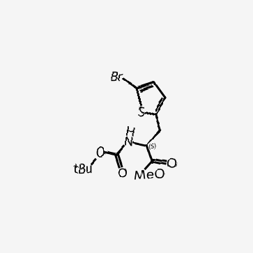 COC(=O)[C@H](Cc1ccc(Br)s1)NC(=O)OC(C)(C)C